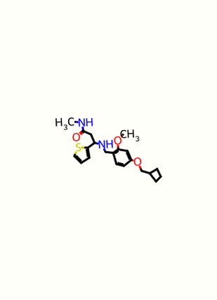 CNC(=O)CC(NCc1ccc(OCC2CCC2)cc1OC)c1cccs1